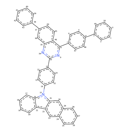 c1ccc(-c2ccc(-c3nc(-c4ccc(-n5c6ccccc6c6cc7ccccc7cc65)cc4)nc4cc(-c5ccccc5)ccc34)cc2)cc1